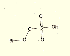 O=S(=O)(O)O[O][Bi]